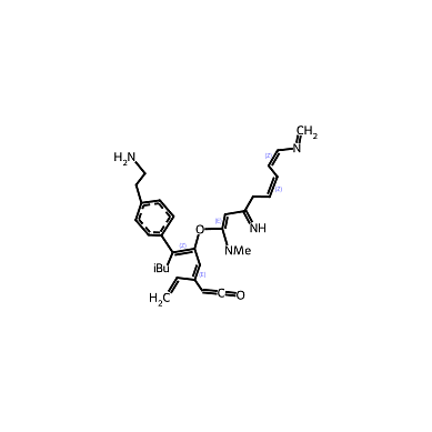 C=C/C(C=C=O)=C\C(O/C(=C/C(=N)C/C=C\C=C/N=C)NC)=C(\c1ccc(CCN)cc1)C(C)CC